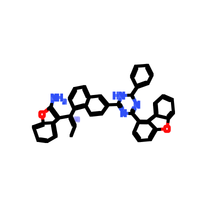 C/C=C(/c1cccc2cc(C3=NC(c4cccc5oc6ccccc6c45)=NC(c4ccccc4)N3)ccc12)c1c(N)oc2ccccc12